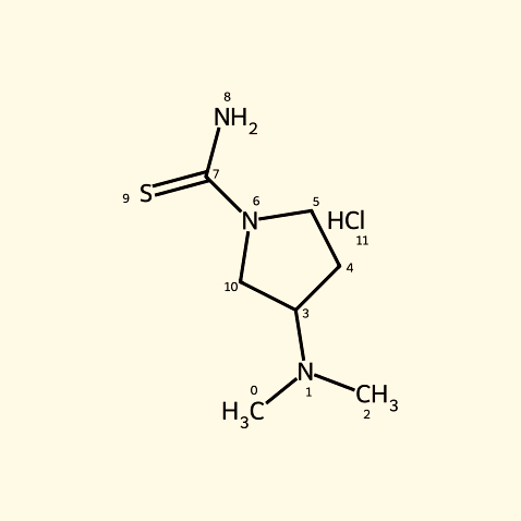 CN(C)C1CCN(C(N)=S)C1.Cl